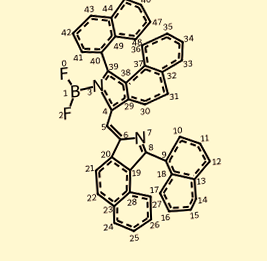 FB(F)n1c(/C=C2\N=C(c3cccc4ccccc34)c3c2ccc2ccccc32)c2ccc3ccccc3c2c1-c1cccc2ccccc12